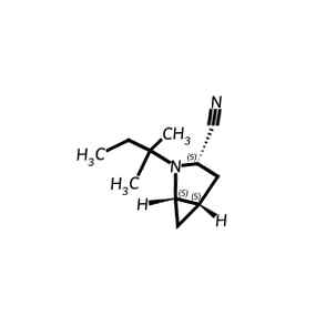 CCC(C)(C)N1[C@H](C#N)C[C@@H]2C[C@@H]21